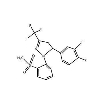 CS(=O)(=O)c1ccccc1N1N=C(C(F)(F)F)CC1c1ccc(F)c(F)c1